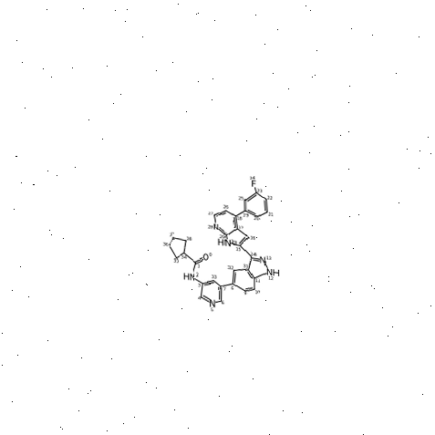 O=C(Nc1cncc(-c2ccc3[nH]nc(-c4cc5c(-c6cccc(F)c6)ccnc5[nH]4)c3c2)c1)C1CCCC1